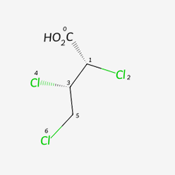 O=C(O)[C@H](Cl)[C@@H](Cl)CCl